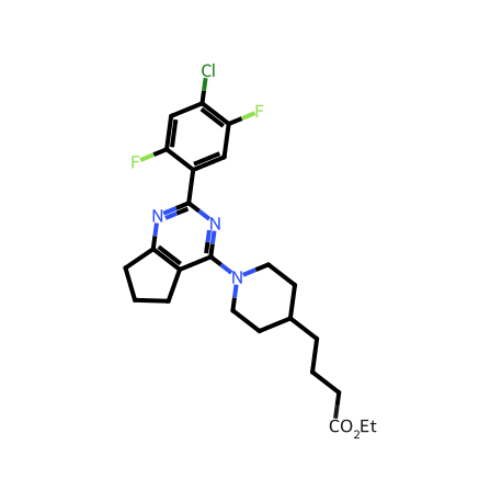 CCOC(=O)CCCC1CCN(c2nc(-c3cc(F)c(Cl)cc3F)nc3c2CCC3)CC1